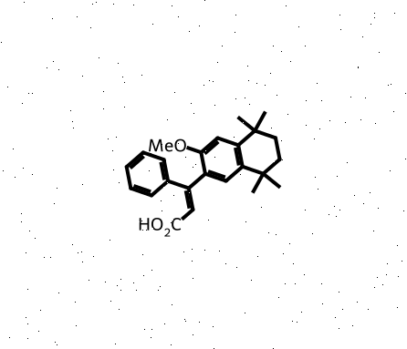 COc1cc2c(cc1C(=CC(=O)O)c1ccccc1)C(C)(C)CCC2(C)C